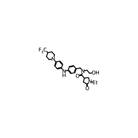 CCN1CC(C(=O)N(CCO)Cc2ccc(Nc3ccc(N4CCC(C(F)(F)F)CC4)cc3)cc2)CC1=O